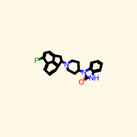 O=c1[nH]c2ccccc2n1C1CCN(C2Cc3ccc(F)c4cccc2c34)CC1